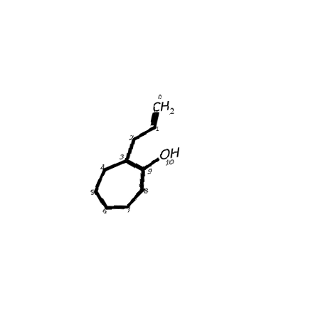 C=CCC1CCCCCC1O